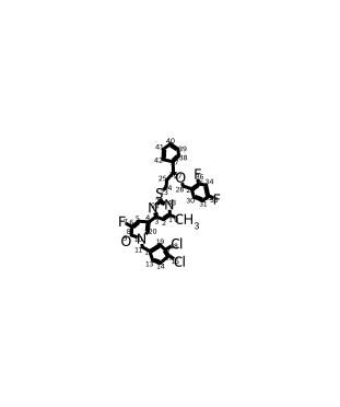 Cc1cc(-c2cc(F)c(=O)n(Cc3ccc(Cl)c(Cl)c3)c2)nc(SCCC(OCc2ccc(F)cc2F)c2ccccc2)n1